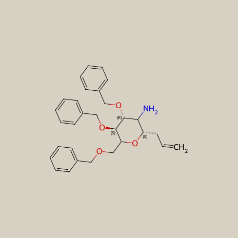 C=CC[C@@H]1OC(COCc2ccccc2)[C@@H](OCc2ccccc2)[C@H](OCc2ccccc2)C1N